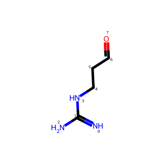 N=C(N)NCCC=O